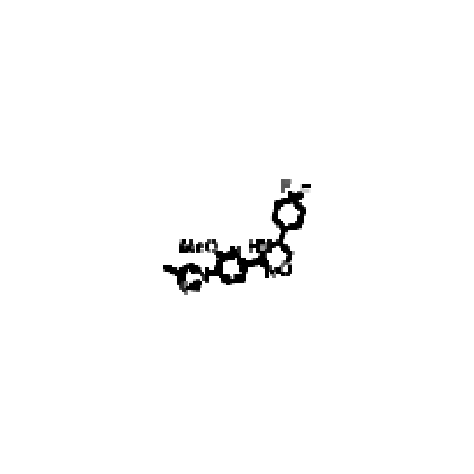 COc1nc(C2=NOCC(C3CCC(F)(F)CC3)N2)ccc1-n1cnc(C)c1